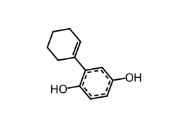 Oc1ccc(O)c(C2=CCCCC2)c1